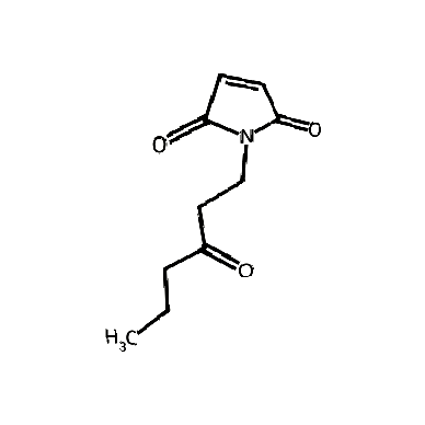 CCCC(=O)CCN1C(=O)C=CC1=O